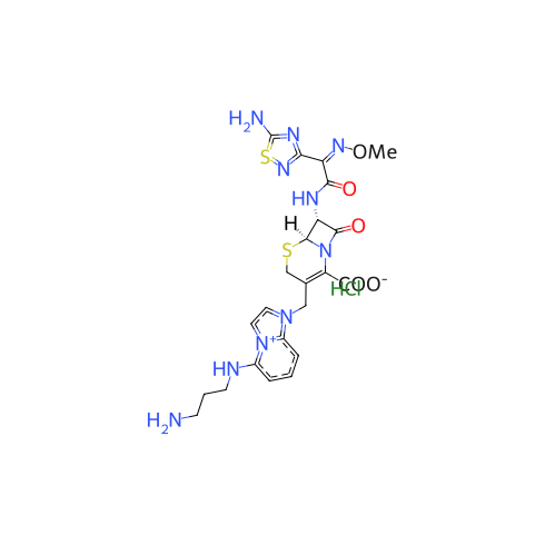 CO/N=C(\C(=O)N[C@@H]1C(=O)N2C(C(=O)[O-])=C(Cn3cc[n+]4c(NCCCN)cccc34)CS[C@@H]12)c1nsc(N)n1.Cl